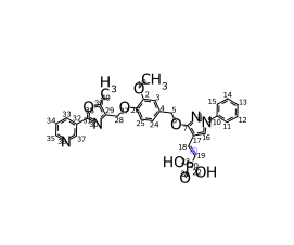 COc1cc(COc2nn(-c3ccccc3)cc2/C=C/P(=O)(O)O)ccc1OCc1nc(-c2cccnc2)oc1C